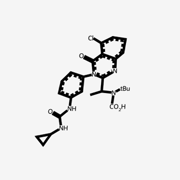 CC(c1nc2cccc(Cl)c2c(=O)n1-c1cccc(NC(=O)NC2CC2)c1)N(C(=O)O)C(C)(C)C